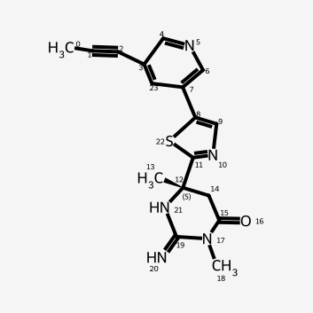 CC#Cc1cncc(-c2cnc([C@]3(C)CC(=O)N(C)C(=N)N3)s2)c1